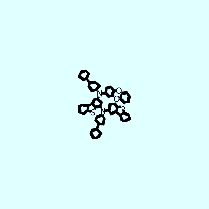 c1ccc(-c2ccc(N(c3ccc4c(c3)Oc3ccccc3O4)c3cc(N(c4ccc(-c5ccccc5)cc4)c4ccc5sc6ccccc6c5c4)c4sc5ccccc5c4c3)cc2)cc1